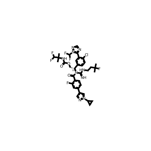 CC(C)(F)CCNC(=N)N(C(=O)c1ccc(-c2cnn(C3CC3)c2)cc1F)[C@H](COC(=O)NC(C)(C)C(F)F)c1ccc(Cl)c(-c2ncnn2C(F)F)c1